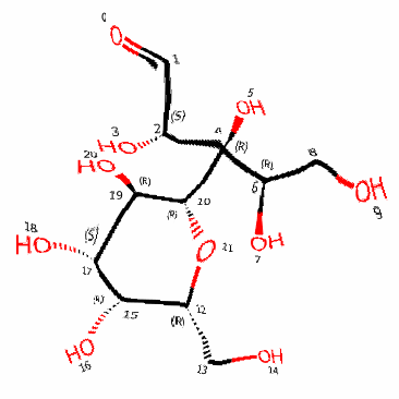 O=C[C@@H](O)[C@](O)([C@H](O)CO)[C@@H]1O[C@H](CO)[C@H](O)[C@H](O)[C@H]1O